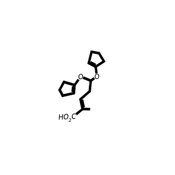 CC(=CCC(OC1=CCCC1)OC1=CCCC1)C(=O)O